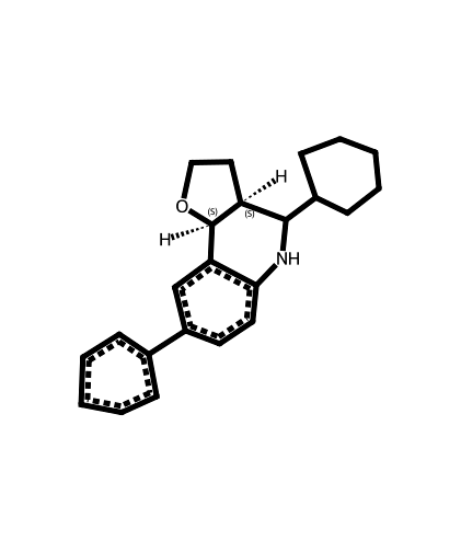 c1ccc(-c2ccc3c(c2)[C@H]2OCC[C@H]2C(C2CCCCC2)N3)cc1